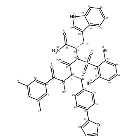 Cc1cc(C)cc(C(=O)N(C)[C@@H](Cc2ccc(-c3ccno3)cc2)C(=O)N([C@@H](Cc2c[nH]c3ccccc23)C(N)=O)S(=O)(=O)c2c(C(C)C)cccc2C(C)C)c1